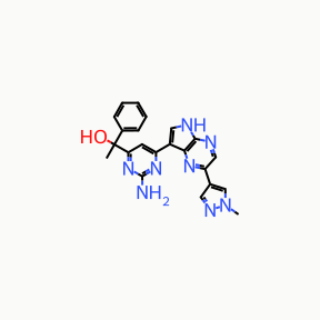 Cn1cc(-c2cnc3[nH]cc(-c4cc(C(C)(O)c5ccccc5)nc(N)n4)c3n2)cn1